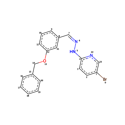 Brc1ccc(N/N=C\c2cccc(OCc3ccccc3)c2)nc1